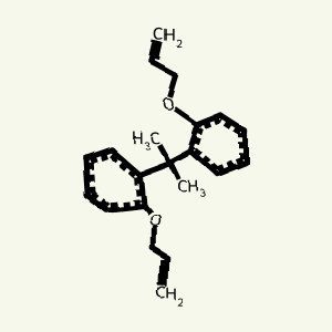 C=CCOc1ccccc1C(C)(C)c1ccccc1OCC=C